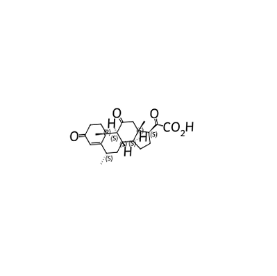 C[C@H]1C[C@H]2[C@@H]3CC[C@H](C(=O)C(=O)O)[C@@]3(C)CC(=O)[C@@H]2[C@@]2(C)CCC(=O)C=C12